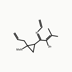 C=CCC1(NC)CC1/C(=N/C=C)C(=C(C)C)C(C)C